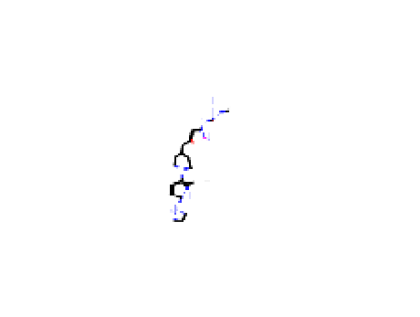 CCNC(=O)Nc1cc(CC2CCN(c3ccc(-n4cccn4)nc3C)CC2)on1